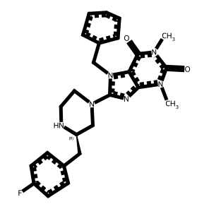 Cn1c(=O)c2c(nc(N3CCN[C@H](Cc4ccc(F)cc4)C3)n2Cc2ccccc2)n(C)c1=O